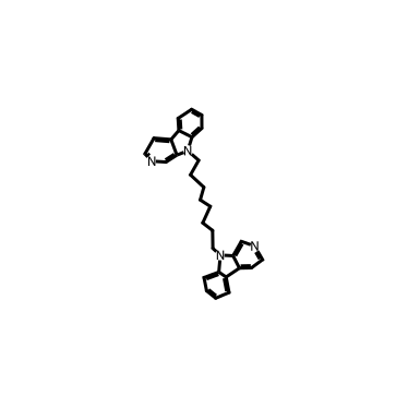 c1ccc2c(c1)c1ccncc1n2CCCCCCCCn1c2ccccc2c2ccncc21